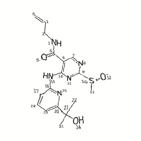 C=CCNC(=O)c1cnc([S+](C)[O-])nc1Nc1cccc(C(C)(C)O)n1